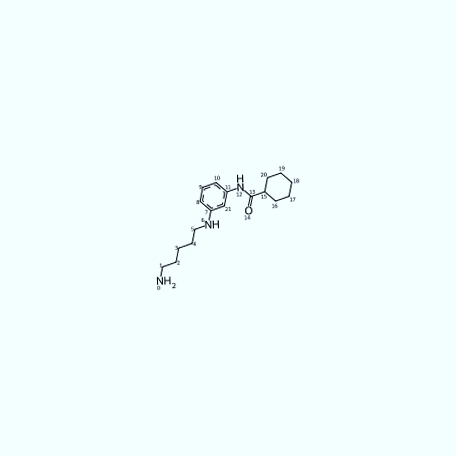 NCCCCCNc1cccc(NC(=O)C2CCCCC2)c1